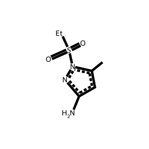 CCS(=O)(=O)n1nc(N)cc1C